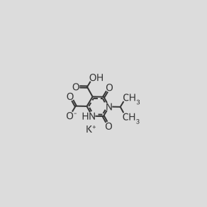 CC(C)n1c(=O)[nH]c(C(=O)[O-])c(C(=O)O)c1=O.[K+]